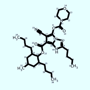 CCCCc1nn2c(OC(=O)N3CCOCC3)c(C#N)c(C(=O)OC3C(CCCC)CC(C)CC3CCCC)c2[nH]1